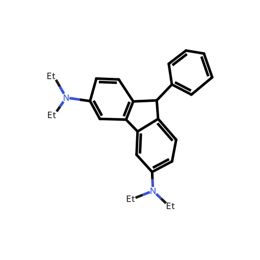 CCN(CC)c1ccc2c(c1)-c1cc(N(CC)CC)ccc1C2c1ccccc1